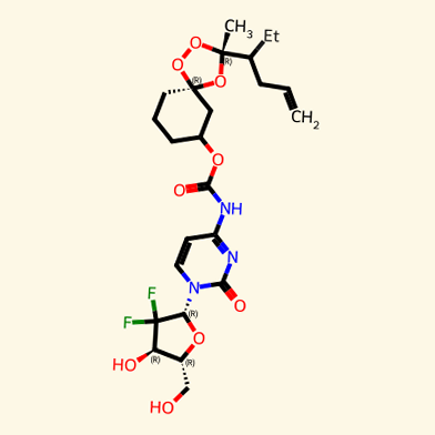 C=CCC(CC)[C@@]1(C)OO[C@@]2(CCCC(OC(=O)Nc3ccn([C@@H]4O[C@H](CO)[C@@H](O)C4(F)F)c(=O)n3)C2)O1